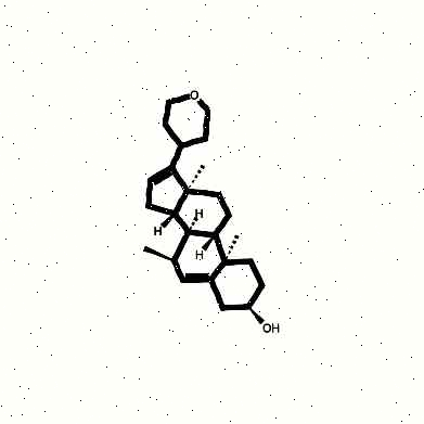 C[C@@H]1C=C2C[C@H](O)CC[C@]2(C)[C@H]2CC[C@]3(C)C(C4CCOCC4)=CC[C@H]3[C@H]12